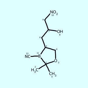 CC1(C)OCC(CC(O)C[N+](=O)[O-])B1C#N